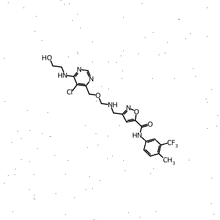 Cc1ccc(NC(=O)c2cc(CNCOCc3ncnc(NCCO)c3Cl)no2)cc1C(F)(F)F